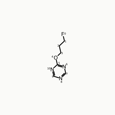 FCCCOc1ncncn1